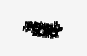 COC[C@]12CC[C@](O)(C(F)(F)F)C[C@H]1CC[C@@H]1[C@@H]2CC[C@]2(C)C(=O)CC[C@@H]12